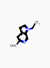 O=Cc1cc2ccn(CC(F)(F)F)c2cn1